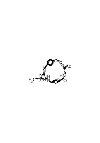 CC(=O)N1CCCOc2ccc(cc2)CNc2nc(nc(OCC(F)(F)F)n2)Nc2ccc(cc2)C(=O)NCC1